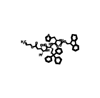 C=CCOC(=O)C[C@H](O)[C@H](NC(=O)[C@@H](CSC(c1ccccc1)(c1ccccc1)c1ccccc1)NC(=O)[C@@H](Cc1cccs1)NC(=O)OCC1c2ccccc2-c2ccccc21)C(C)C